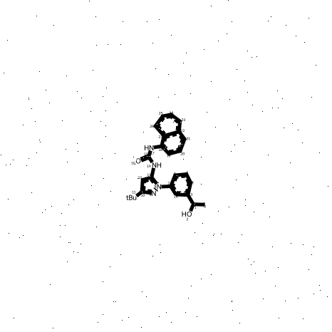 CC(O)c1cccc(-n2nc(C(C)(C)C)cc2NC(=O)Nc2cccc3ccccc23)c1